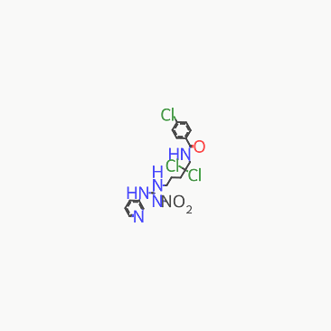 O=C(NCC(Cl)(Cl)CCCNC(=N[N+](=O)[O-])Nc1cccnc1)c1ccc(Cl)cc1